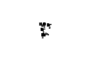 O.[Br-].[Br-].[Rh+2]